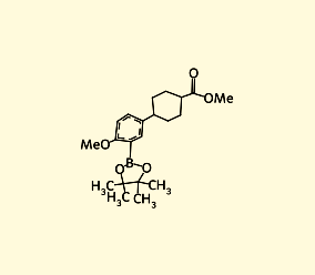 COC(=O)C1CCC(c2ccc(OC)c(B3OC(C)(C)C(C)(C)O3)c2)CC1